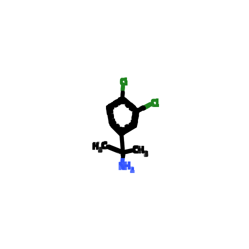 CC(C)(N)c1ccc(Cl)c(Cl)c1